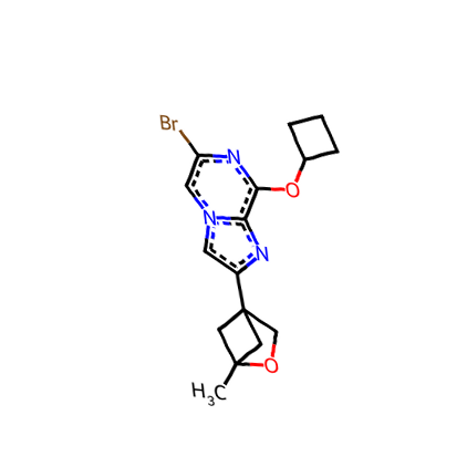 CC12CC(c3cn4cc(Br)nc(OC5CCC5)c4n3)(CO1)C2